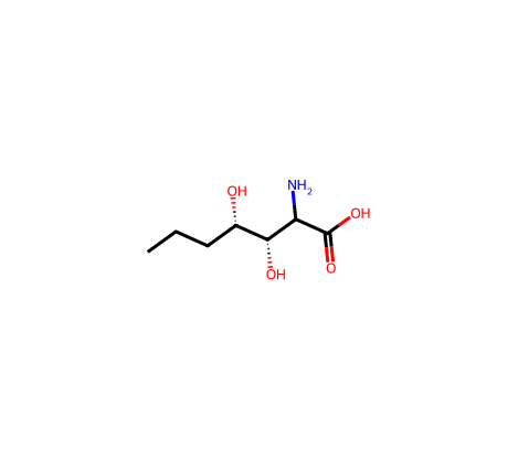 CCC[C@H](O)[C@@H](O)C(N)C(=O)O